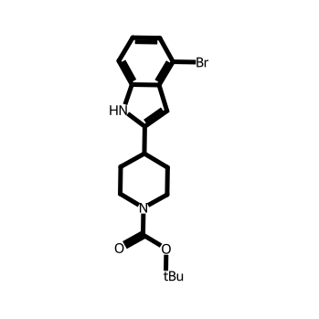 CC(C)(C)OC(=O)N1CCC(c2cc3c(Br)cccc3[nH]2)CC1